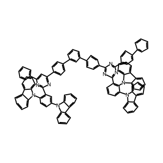 c1ccc(-c2ccc(-c3nc(-c4ccc(-c5cccc(-c6ccc(-c7cc(-c8ccccc8)nc(-c8cc(-n9c%10ccccc%10c%10ccccc%109)ccc8-n8c9ccccc9c9ccccc98)n7)cc6)c5)cc4)nc(-c4cccc(-n5c6ccccc6c6ccccc65)c4-n4c5ccccc5c5ccccc54)n3)cc2)cc1